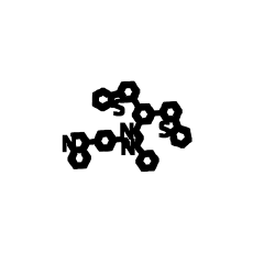 c1ccc(-c2cc(-c3cc(-c4cccc5c4sc4ccccc45)cc(-c4cccc5c4sc4ccccc45)c3)nc(-c3ccc(-c4ccnc5ccccc45)cc3)n2)cc1